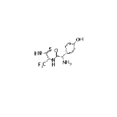 [NH]C(=S)C(NC(=O)C(N)c1ccc(O)cc1)C(F)(F)F